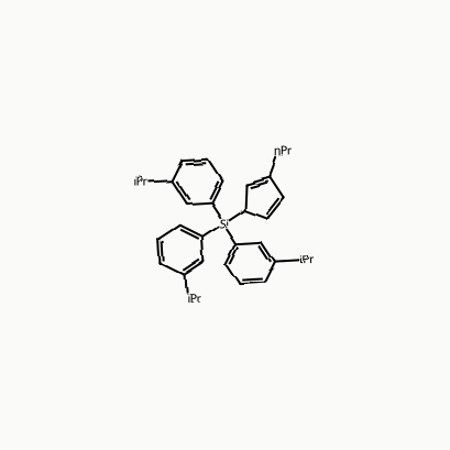 CCCC1=C[C]([Si](c2cccc(C(C)C)c2)(c2cccc(C(C)C)c2)c2cccc(C(C)C)c2)C=C1